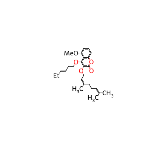 CCC=CCCOc1c(OCC=C(C)CCC=C(C)C)c(=O)oc2cccc(OC)c12